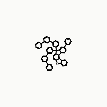 c1ccc(-c2cccc(-c3cccc(C4(c5cccc(-c6cccc(-c7ccccc7)c6)c5)c5cc(-c6ccccc6)ccc5-c5c4ccc4oc6ccccc6c54)c3)c2)cc1